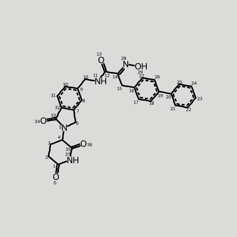 O=C1CCC(N2Cc3cc(CNC(=O)/C(Cc4ccc(-c5ccccc5)cc4)=N/O)ccc3C2=O)C(=O)N1